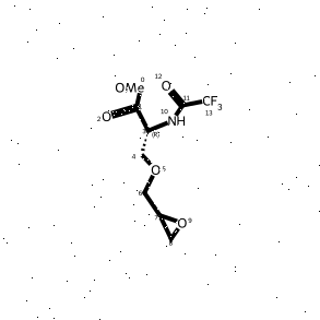 COC(=O)[C@@H](COCC1CO1)NC(=O)C(F)(F)F